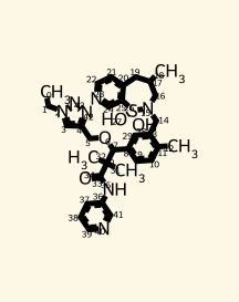 CCn1cc(COC(c2ccc(C)c(CN3CC(C)Cc4ccncc4S3(O)O)c2)C(C)(C)C(=O)Nc2cccnc2)nn1